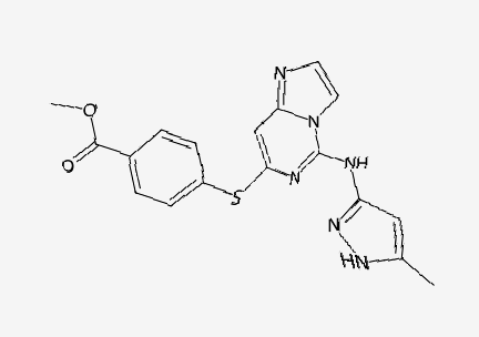 COC(=O)c1ccc(Sc2cc3nccn3c(Nc3cc(C)[nH]n3)n2)cc1